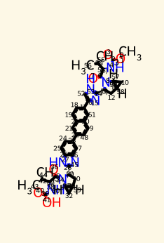 COC(=O)N[C@H](C(=O)N1[C@@H]2C[C@H]2C[C@H]1c1nc(-c2ccc3cc(-c4ccc5[nH]c([C@@H]6C[C@H]7C[C@H]7N6C(=O)[C@@H](NC(=O)O)C(C)C)nc5c4)ccc3c2)c[nH]1)C(C)C